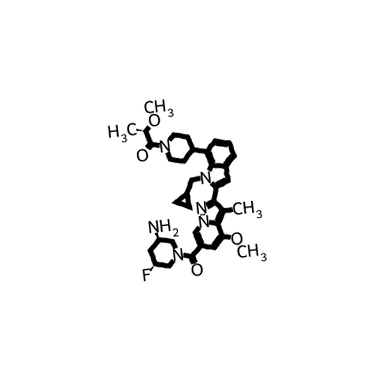 COc1cc(C(=O)N2C[C@H](N)C[C@@H](F)C2)cn2nc(-c3cc4cccc(C5CCN(C(=O)[C@H](C)OC)CC5)c4n3CC3CC3)c(C)c12